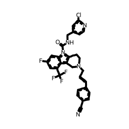 N#Cc1ccc(/C=C/CN2CCc3c(c4c(C(F)(F)F)cc(F)cc4n3C(=O)NCc3ccnc(Cl)c3)C2)cc1